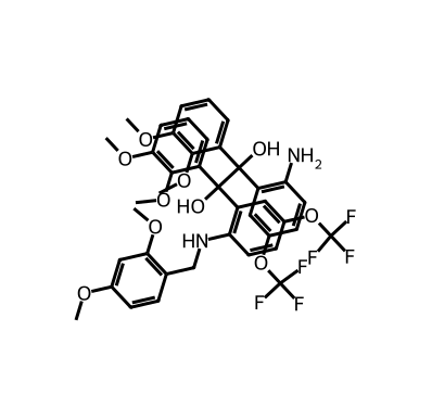 COc1ccc(CNc2ccc(OC(F)(F)F)cc2C(O)(c2cccc(OC)c2OC)C(O)(c2cc(OC(F)(F)F)ccc2N)c2cccc(OC)c2OC)c(OC)c1